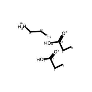 CCC(=O)O.CCC(=O)O.NCCI